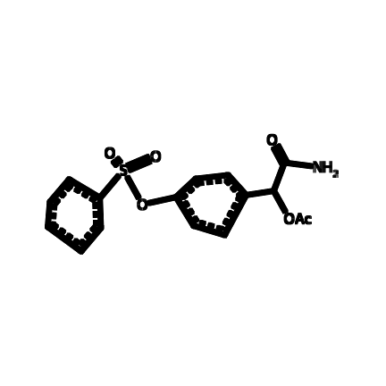 CC(=O)OC(C(N)=O)c1ccc(OS(=O)(=O)c2ccccc2)cc1